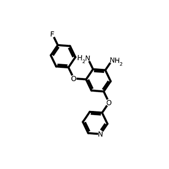 Nc1cc(Oc2cccnc2)cc(Oc2ccc(F)cc2)c1N